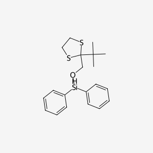 CC(C)(C)C1(CO[SiH](c2ccccc2)c2ccccc2)SCCS1